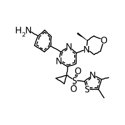 Cc1nc(S(=O)(=O)C2(c3cc(N4CCOC[C@@H]4C)nc(-c4ccc(N)cc4)n3)CC2)sc1C